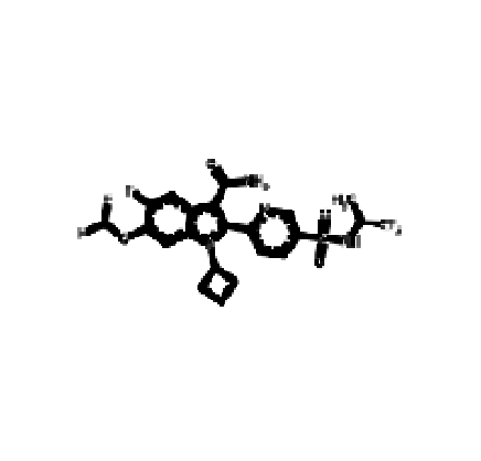 C[C@H](NS(=O)(=O)c1ccc(-c2c(C(N)=O)c3cc(F)c(OC(F)F)cc3n2C2CCC2)nc1)C(F)(F)F